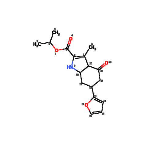 CC1=C(C(=O)OC(C)C)NC2CC(c3ccco3)CC(=O)C12